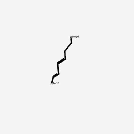 [CH2]CCCCCCCC/C=C/C=C/CCCCC